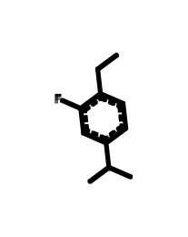 CCc1ccc([C](C)C)cc1F